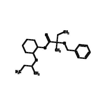 CCC(C)OC1CCCCC1OC(=O)C(C)(CC)OCc1ccccc1